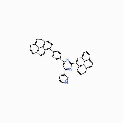 C1=CC2=CC=C3CC=CC4=C3C2C(=C1)C=C4c1nc(-c2ccc(-c3ccc4c5c6c(ccc35)C=CCC6=CC4)cc2)cc(-c2cccnc2)n1